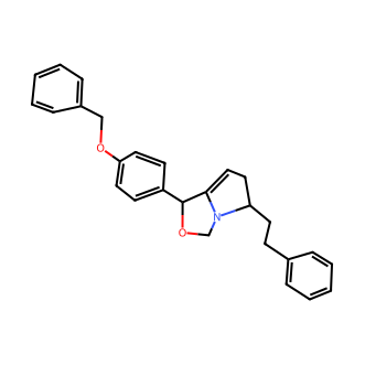 C1=C2C(c3ccc(OCc4ccccc4)cc3)OCN2C(CCc2ccccc2)C1